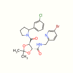 CC1(C)O[C@@H](C(=O)NCc2ccc(Br)cn2)[C@H](C(=O)N2CCCC2c2cccc(Cl)c2)O1